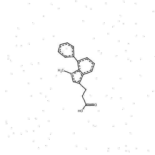 Cn1cc(CCC(=O)O)c2cccc(-c3ccccc3)c21